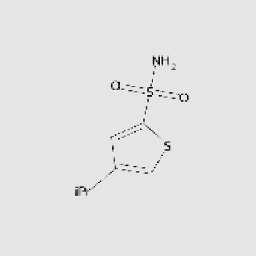 CC(C)c1csc(S(N)(=O)=O)c1